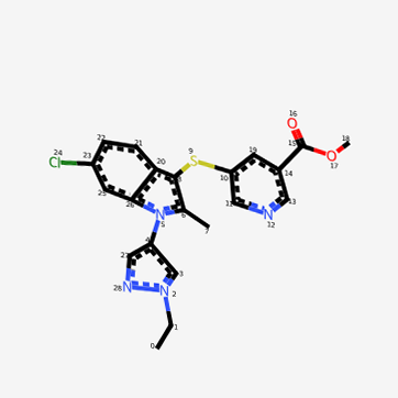 CCn1cc(-n2c(C)c(Sc3cncc(C(=O)OC)c3)c3ccc(Cl)cc32)cn1